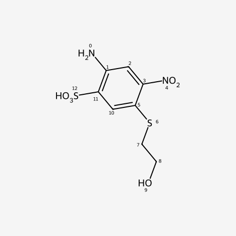 Nc1cc([N+](=O)[O-])c(SCCO)cc1S(=O)(=O)O